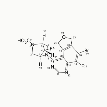 O=C(O)N1C[C@H]2[C@@H](F)[C@@H]1CN2c1ncnc2c(F)c(Br)c3c(c12)COC3